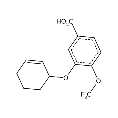 O=C(O)c1ccc(OC(F)(F)F)c(OC2C=CCCC2)c1